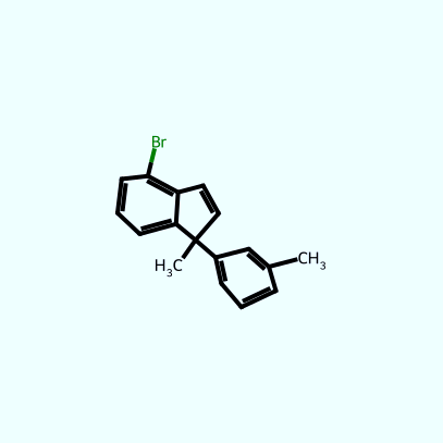 Cc1cccc(C2(C)C=Cc3c(Br)cccc32)c1